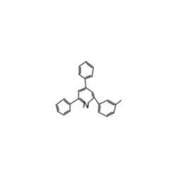 Cc1cccc(-c2cc(-c3ccccc3)cc(-c3ccccc3)n2)c1